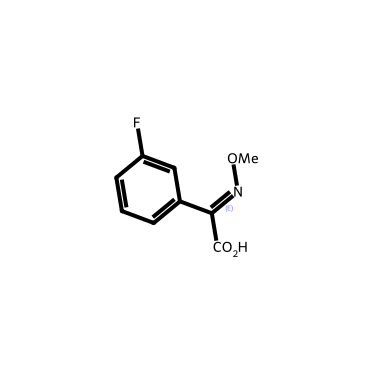 CO/N=C(/C(=O)O)c1cccc(F)c1